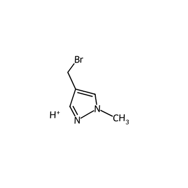 Cn1cc(CBr)cn1.[H+]